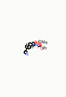 COCP(=O)(N[C@@H](C)C(=O)OC(C)C)O[C@H]1CC[C@@]2(C)C(=CC[C@@H]3[C@@H]2CC[C@]2(C)C(c4cccnc4)=CC[C@@H]32)C1